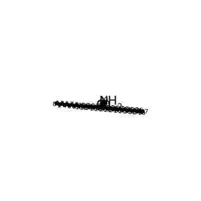 CCCCCCCCCCCCCCCCCCCC(CCCCCCCCCCCCCCCCCC)OC(N)=O